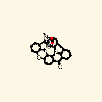 Cn1c2[n+](c3nccnc31)[N+]13c4c(cccc4-2)Oc2ccc4c(=O)c5cccc6c7ccc[n+]1c7n(c4c23)c56